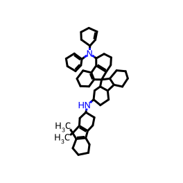 CC1(C)C2=C(CCCC2)C2=C1CC(NC1CCC3C4CCCCC4C4(C5=C(CCCC5)C5=C4CCCC5N(C4=CCCC=C4)C4C=CCCC4)C3C1)CC2